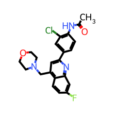 CC(=O)Nc1ccc(-c2cc(CN3CCOCC3)c3ccc(F)cc3n2)cc1Cl